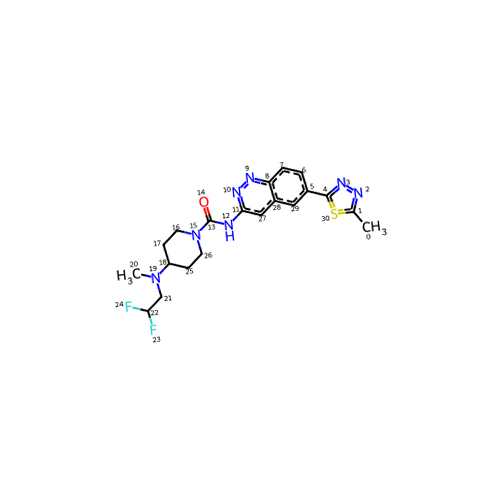 Cc1nnc(-c2ccc3nnc(NC(=O)N4CCC(N(C)CC(F)F)CC4)cc3c2)s1